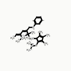 CC1=C(C)C(C)[C]([Ti][SiH](C)C)=C1C.CC=C(C=C(COc1ccccc1)C(C)(C)C)OC